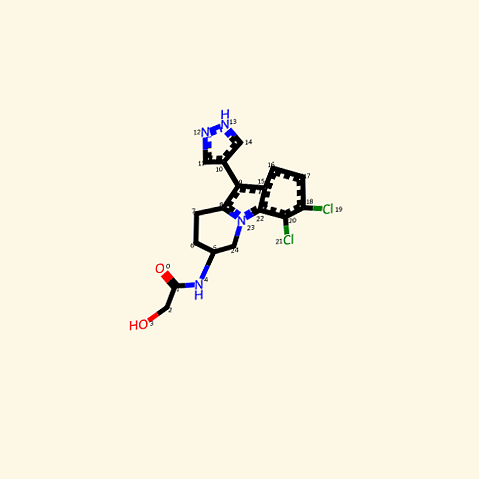 O=C(CO)NC1CCc2c(-c3cn[nH]c3)c3ccc(Cl)c(Cl)c3n2C1